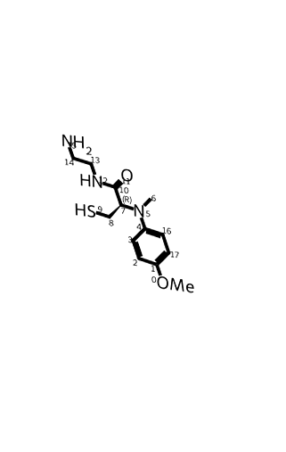 COc1ccc(N(C)[C@@H](CS)C(=O)NCCN)cc1